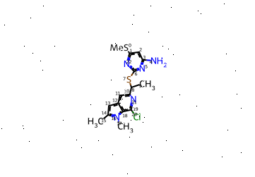 CSc1cc(N)nc(SC(C)c2cc3cc(C)n(C)c3c(Cl)n2)n1